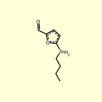 CCC[CH2][SnH2][c]1ccc(C=O)o1